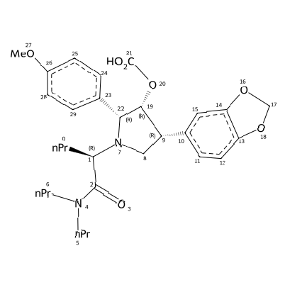 CCC[C@H](C(=O)N(CCC)CCC)N1C[C@@H](c2ccc3c(c2)OCO3)[C@@H](OC(=O)O)[C@H]1c1ccc(OC)cc1